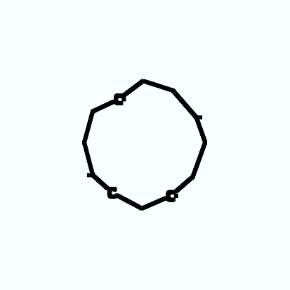 [CH]1CC[CH]CC[CH]CC[CH]CC1